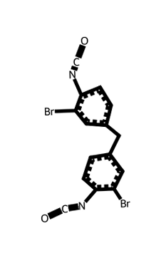 O=C=Nc1ccc(Cc2ccc(N=C=O)c(Br)c2)cc1Br